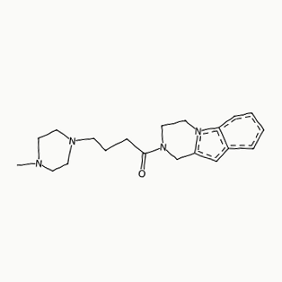 CN1CCN(CCCC(=O)N2CCn3c(cc4ccccc43)C2)CC1